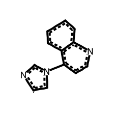 [c]1cn(-c2ccnc3ccccc23)cn1